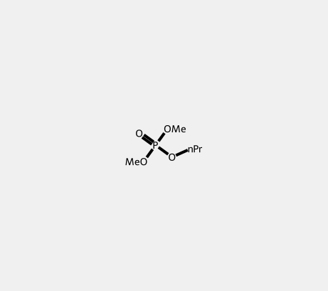 [CH2]CCOP(=O)(OC)OC